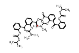 CC(C)OC(=O)Oc1ccccc1C(=O)c1cccc(C(=O)OOC(=O)c2cccc(C(=O)c3ccccc3OC(=O)OC(C)C)c2OC(=O)N(C)C)c1OC(=O)N(C)C